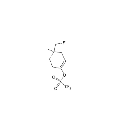 CC1(CF)CC=C(OS(=O)(=O)C(F)(F)F)CC1